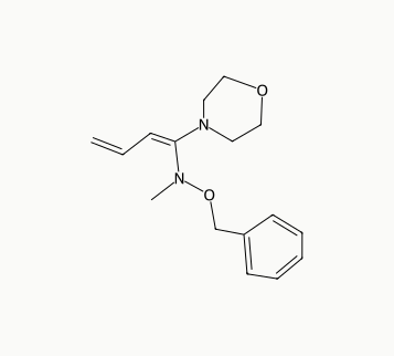 C=C/C=C(/N1CCOCC1)N(C)OCc1ccccc1